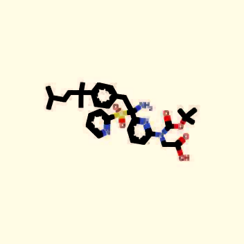 CC(C)CCC(C)(C)c1ccc(CC(N)(c2cccc(N(CC(=O)O)C(=O)OC(C)(C)C)n2)S(=O)(=O)c2ccccn2)cc1